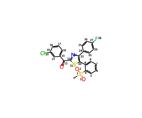 CS(=O)(=O)c1ccccc1-c1sc(C(=O)c2cccc(Cl)c2)nc1-c1ccc(F)cc1